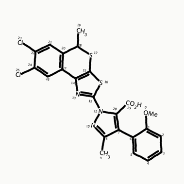 COc1ccccc1-c1c(C)nn(-c2nc3c(s2)SC(C)c2cc(Cl)c(Cl)cc2-3)c1C(=O)O